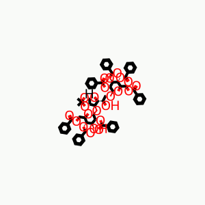 CC1(C)OC2[C@H](O[C@H](C(O)CO[C@@H]3OC(COC(=O)c4ccccc4)[C@@H](OC(=O)c4ccccc4)[C@H](OC(=O)c4ccccc4)C3OC(=O)c3ccccc3)[C@H]2O[C@@H]2OC(COC(=O)c3ccccc3)[C@@H](OC(=O)c3ccccc3)[C@H](O)C2OC(=O)c2ccccc2)O1